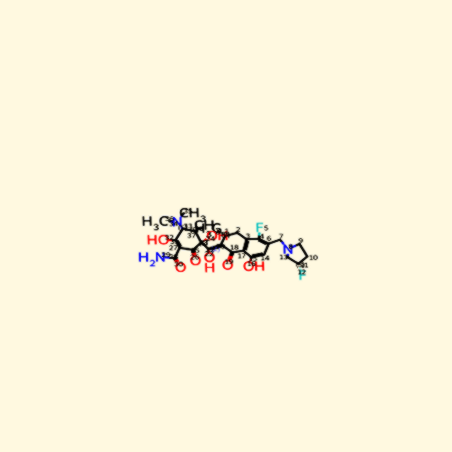 C[C@@H]1Cc2c(F)c(CN3CC[C@H](F)C3)cc(O)c2C(=O)/C1=C(\O)[C@]1(O)C(=O)C(C(N)=O)=C(O)[C@@H](N(C)C)[C@@H]1C